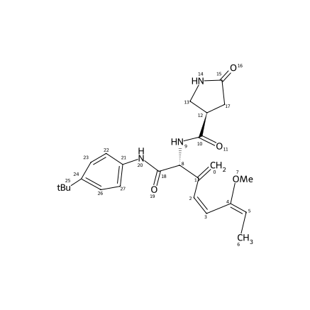 C=C(/C=C\C(=C/C)OC)[C@@H](NC(=O)[C@H]1CNC(=O)C1)C(=O)Nc1ccc(C(C)(C)C)cc1